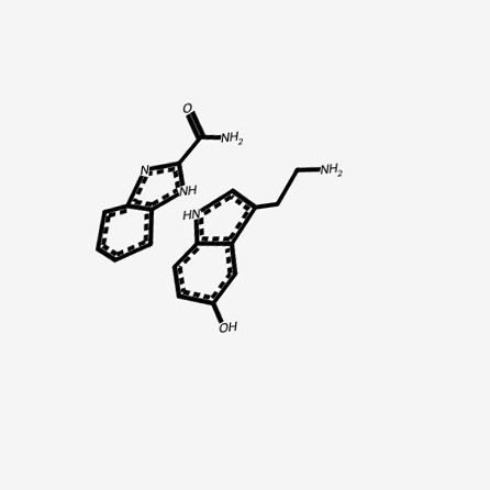 NC(=O)c1nc2ccccc2[nH]1.NCCc1c[nH]c2ccc(O)cc12